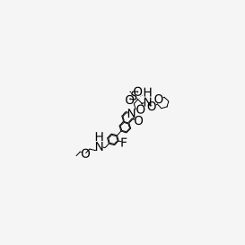 CCOCCNCc1ccc(-c2ccc3c(=O)n(CC[C@](C)(C(=O)NOC4CCCCO4)S(C)(=O)=O)ccc3c2)c(F)c1